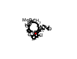 CCO[C@]1(CN2CCN(C3COC3)CC2)/C=C/C[C@H](C)[C@@H](COC)S(=O)(=O)NC(=O)c2ccc3c(c2)N(C[C@@H]2CC[C@H]21)C[C@@]1(CCCc2cc(Cl)ccc21)CO3